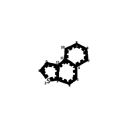 [c]1csc2ccc3ccccc3c12